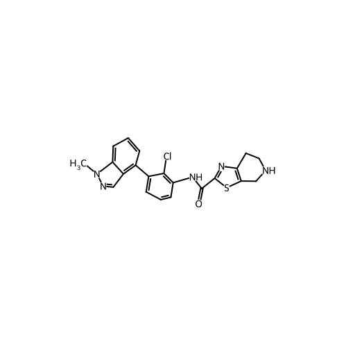 Cn1ncc2c(-c3cccc(NC(=O)c4nc5c(s4)CNCC5)c3Cl)cccc21